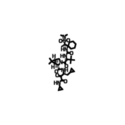 C[C@H](C1(NC(=O)N[C@H](C(=O)N2C[C@H]3[C@@H]([C@H]2C(=O)N[C@@H](CC2CC2)C(=O)C(=O)NC2CC2)C3(C)C)C(C)(C)C)CCCCC1)S(=O)(=O)N(C)C